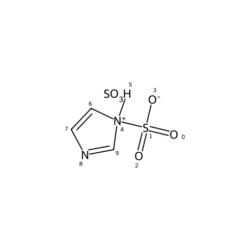 O=S(=O)([O-])[N+]1(S(=O)(=O)O)C=CN=C1